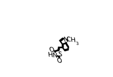 Cn1ccc2c(C=C3SC(=O)NC3=O)cccc21